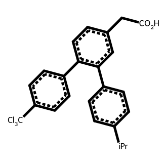 CC(C)c1ccc(-c2cc(CC(=O)O)ccc2-c2ccc(C(Cl)(Cl)Cl)cc2)cc1